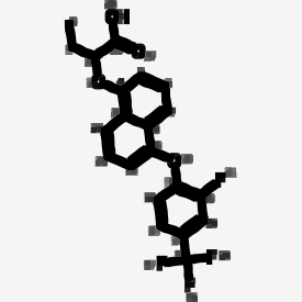 CCC(Oc1cccc2c(Oc3ccc(C(F)(F)F)cc3F)cccc12)C(=O)O